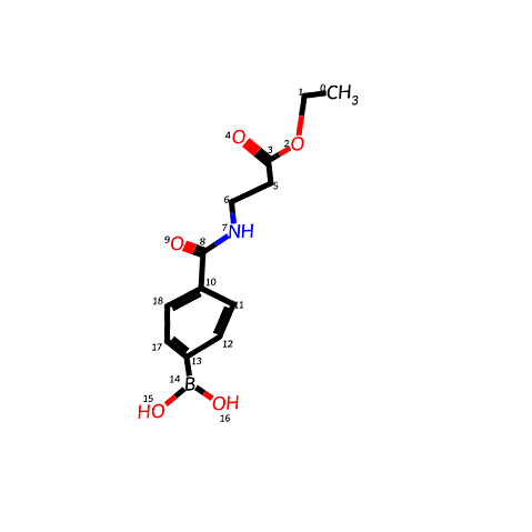 CCOC(=O)CCNC(=O)c1ccc(B(O)O)cc1